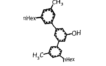 CCCCCCc1cc(C)cc(-c2cc(O)cc(-c3cc(C)cc(CCCCCC)c3)c2)c1